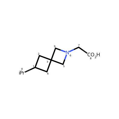 CC(C)C1CC2(C1)CN(CC(=O)O)C2